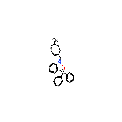 N#CC1CCCC(C=NO[Si](c2ccccc2)(c2ccccc2)c2ccccc2)CC1